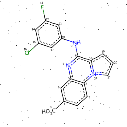 O=C(O)c1ccc2c(c1)nc(Nc1cc(F)cc(Cl)c1)c1cccn12